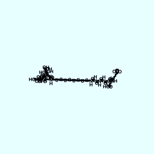 O=C(O)CC[C@H](NC(=O)CCCCCN1C(=O)C=CC1=O)C(=O)NCC(=O)NCC(=O)NCC(=O)NCC(=O)NCCOCCOCCOCCOCCOCCOCCOCCOCCC(=O)N[C@@H](CCC(=O)NC[C@H](O)[C@@H](O)[C@H](O)[C@H](O)CO)C(=O)NC[C@H](O)[C@@H](O)[C@H](O)[C@H](O)CO